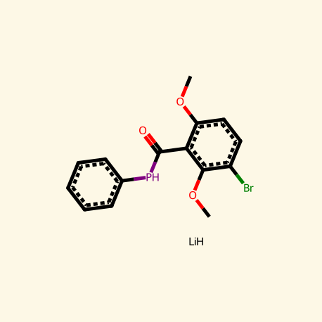 COc1ccc(Br)c(OC)c1C(=O)Pc1ccccc1.[LiH]